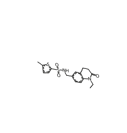 CCN1C(=O)CCc2cc(CNS(=O)(=O)c3ccc(C)s3)ccc21